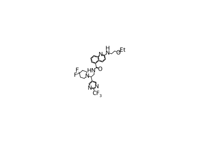 CCOCCNc1ccc2c(C(=O)NCC(c3cnc(C(F)(F)F)nc3)N3CCC(F)(F)CC3)cccc2n1